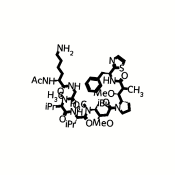 CC[C@H](C)[C@@H]([C@@H](CC(=O)N1CCC[C@H]1[C@H](OC)C(C)C(=O)N[C@@H](Cc1ccccc1)c1nccs1)OC)N(C)C(=O)[C@@H](NC(=O)C(C(C)C)N(C)C(=O)CNC(=O)[C@H](CCCCN)NC(C)=O)C(C)C